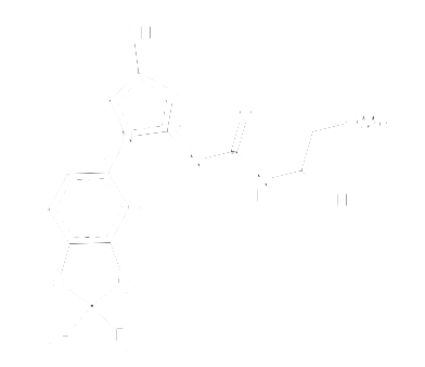 COCC(C)NC(=O)/N=c1\sc(C)cn1-c1ccc2c(c1)OC(F)(F)O2